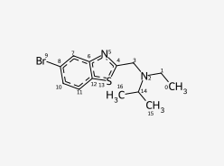 CCN(Cc1nc2cc(Br)ccc2s1)C(C)C